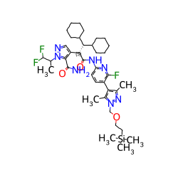 Cc1nn(COCC[Si](C)(C)C)c(C)c1-c1ccc(NC(=O)[C@H](c2cnn(C(C)C(F)F)c2C(N)=O)C(C2CCCCC2)C2CCCCC2)nc1F